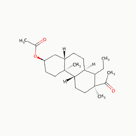 CCC1[C@@H]2CC[C@H]3C[C@H](OC(C)=O)CC[C@]3(C)[C@H]2CC[C@]1(C)C(C)=O